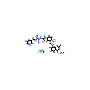 COc1cc(C)nc2c(OCc3c(Cl)ccc(N(C)C(=O)CNC(=O)C=Cc4cccnc4)c3Cl)cccc12.Cl.Cl